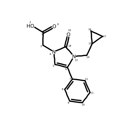 O=C(O)Cn1cc(-c2ccccc2)n(CC2CC2)c1=O